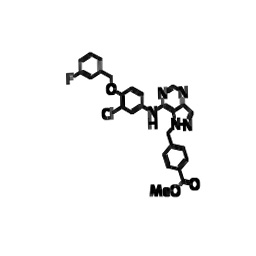 COC(=O)c1ccc(Cn2ncc3ncnc(Nc4ccc(OCc5cccc(F)c5)c(Cl)c4)c32)cc1